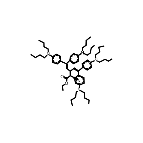 CCCCN(CCCC)c1ccc(C(=CC(C=C(c2ccc(N(CCCC)CCCC)cc2)c2ccc(N(CCCC)CCCC)cc2)C(C#N)C(=O)OCC)c2ccc(N(CCCC)CCCC)cc2)cc1